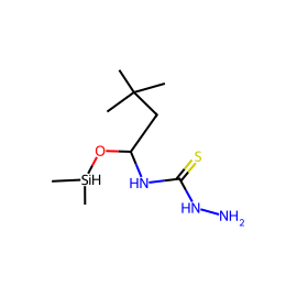 C[SiH](C)OC(CC(C)(C)C)NC(=S)NN